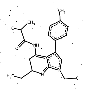 CCC1CC(NC(=O)C(C)C)=c2c(-c3ccc(C)cc3)cn(CC)c2=N1